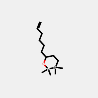 C=CCCCCC1CC[Si](C)(C)[Si](C)(C)O1